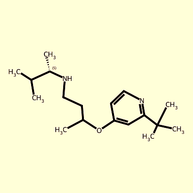 CC(CCN[C@@H](C)C(C)C)Oc1ccnc(C(C)(C)C)c1